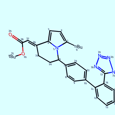 CCCCc1ccc2n1C(c1ccc(-c3ccccc3-c3nnn[nH]3)cc1)CCC2=CC(=O)OC(C)(C)C